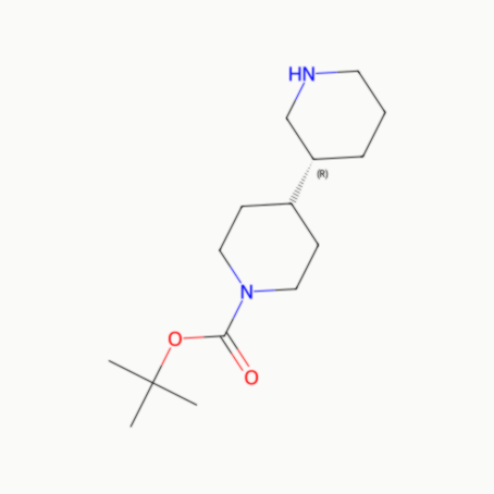 CC(C)(C)OC(=O)N1CCC([C@H]2CCCNC2)CC1